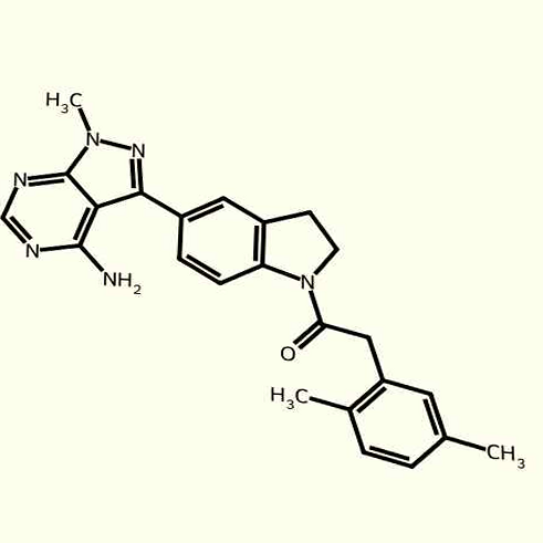 Cc1ccc(C)c(CC(=O)N2CCc3cc(-c4nn(C)c5ncnc(N)c45)ccc32)c1